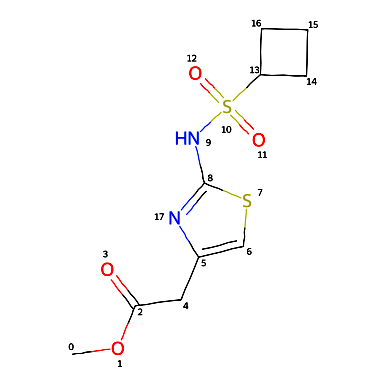 COC(=O)Cc1csc(NS(=O)(=O)C2CCC2)n1